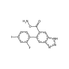 NOC(=O)c1cc2[nH]nnc2cc1-c1ccc(I)cc1F